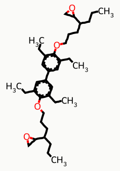 CCCC(CCCOc1c(CC)cc(-c2cc(CC)c(OCCCC(CCC)C3CO3)c(CC)c2)cc1CC)C1CO1